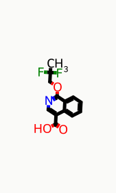 CC(F)(F)COc1ncc(C(=O)O)c2ccccc12